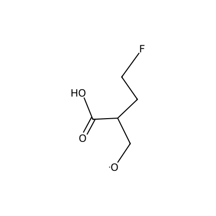 [O]CC(CCF)C(=O)O